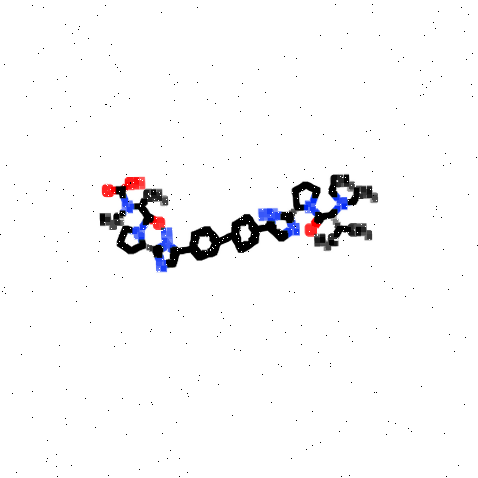 CCN(CC)[C@@H](C(=O)N1CCC[C@H]1c1ncc(-c2ccc(-c3ccc(-c4cnc([C@@H]5CCCN5C(=O)[C@H](C)N(C)C(=O)O)[nH]4)cc3)cc2)[nH]1)C(C)C